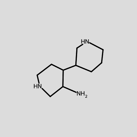 NC1CNCCC1C1CCCNC1